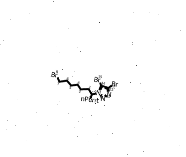 CCCCCC(CCCCCCBr)n1nnc(Br)c1Br